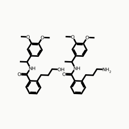 COc1ccc(C(C)NC(=O)c2ccccc2CCCN)cc1OC.COc1ccc(C(C)NC(=O)c2ccccc2CCCO)cc1OC